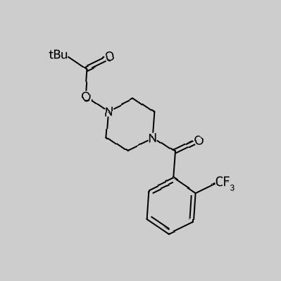 CC(C)(C)C(=O)ON1CCN(C(=O)c2ccccc2C(F)(F)F)CC1